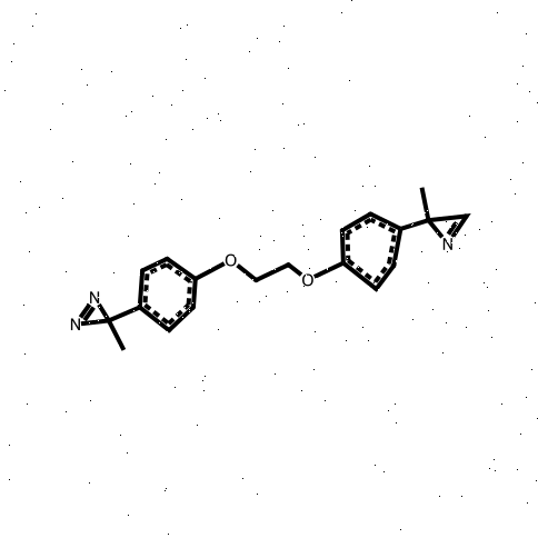 CC1(c2ccc(OCCOc3ccc(C4(C)N=N4)cc3)cc2)C=N1